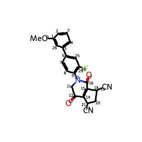 COc1cccc(-c2ccc(N3CC(=O)C4=C(C3=O)C(C#N)CC4C#N)c(F)c2)c1